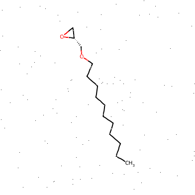 CCCCCCCCCCCOC[C@H]1CO1